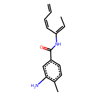 C=C/C=C\C(=C/C)NC(=O)c1ccc(C)c(N)c1